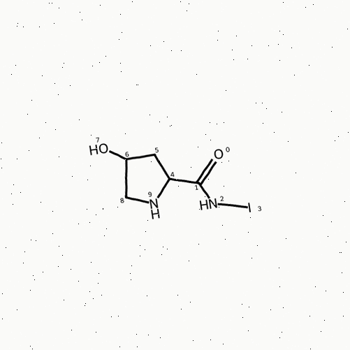 O=C(NI)C1CC(O)CN1